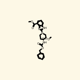 COC(=O)c1cccc2[nH]c(N3CC[C@@H](NC(=O)OCc4ccccc4)[C@@H](OC)C3)nc12